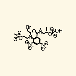 CN(CCOP(=O)(O)O)C(=O)c1cc([N+](=O)[O-])cc([N+](=O)[O-])c1N(CCBr)CCOS(C)(=O)=O